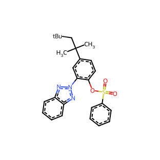 CC(C)(C)CC(C)(C)c1ccc(OS(=O)(=O)c2ccccc2)c(-n2nc3ccccc3n2)c1